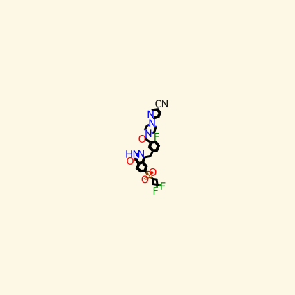 N#Cc1ccc(N2CCN(C(=O)c3cc(Cc4n[nH]c(=O)c5ccc(S(=O)(=O)C6CC(F)(F)C6)cc45)ccc3F)CC2)nc1